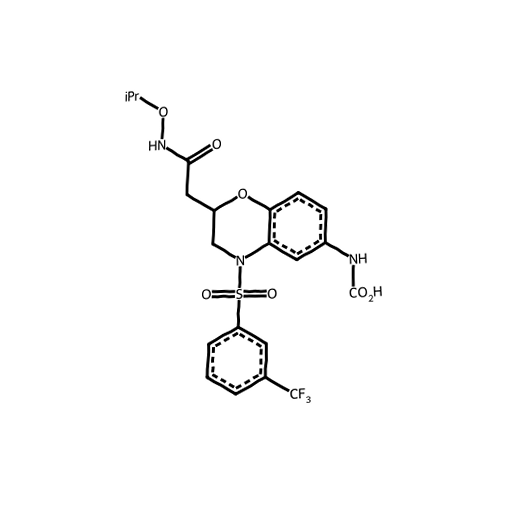 CC(C)ONC(=O)CC1CN(S(=O)(=O)c2cccc(C(F)(F)F)c2)c2cc(NC(=O)O)ccc2O1